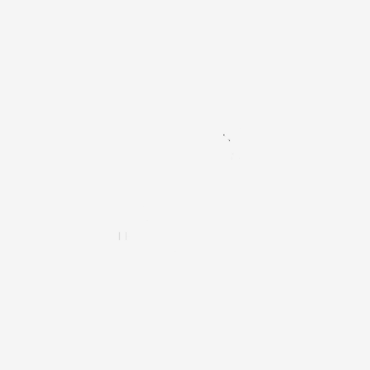 O=C(O)C(=C/C=C/c1ccccc1[N+](=O)[O-])C(=O)O